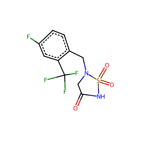 O=C1CN(Cc2ccc(F)cc2C(F)(F)F)S(=O)(=O)N1